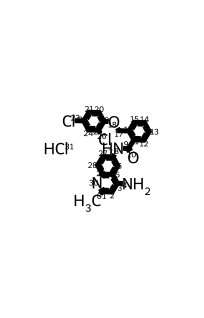 Cc1cc(N)c2cc(NC(=O)c3ccccc3COc3ccc(Cl)cc3Cl)ccc2n1.Cl